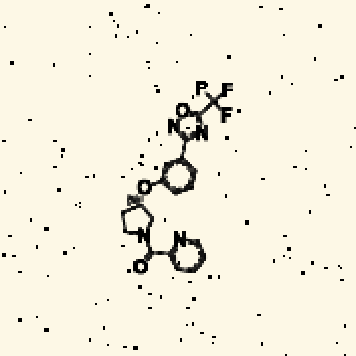 O=C(c1ccccn1)N1CC[C@H](Oc2cccc(-c3noc(C(F)(F)F)n3)c2)C1